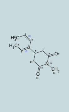 C/C=C\C(=C/C)C1CC(=O)N(C)C(=O)C1